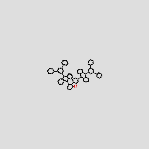 c1ccc(-c2cc(-c3ccccc3)cc(-c3c4ccccc4c(-c4ccc5c(c4)oc4cccc(-c6c7ccccc7c(-c7cc(-c8ccccc8)cc(-c8ccccc8)c7)c7ccccc67)c45)c4ccccc34)c2)cc1